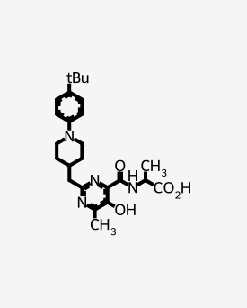 Cc1nc(CC2CCN(c3ccc(C(C)(C)C)cc3)CC2)nc(C(=O)NC(C)C(=O)O)c1O